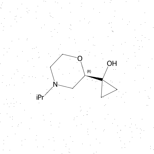 CC(C)N1CCO[C@@H](C2(O)CC2)C1